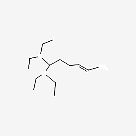 CCN(CC)C(CCC=C[SiH3])N(CC)CC